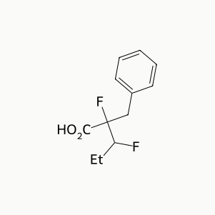 CCC(F)C(F)(Cc1ccccc1)C(=O)O